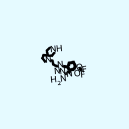 Nc1nc2c3c(ccc2c2nc(CCN4CCCC45CCNCC5)nn12)OC(F)(F)O3